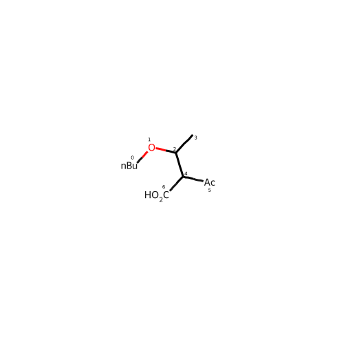 CCCCOC(C)C(C(C)=O)C(=O)O